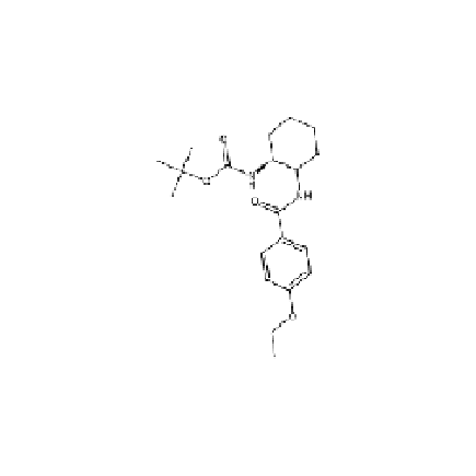 CCOc1ccc(C(=O)NC2CCCC[C@@H]2NC(=O)OC(C)(C)C)cc1